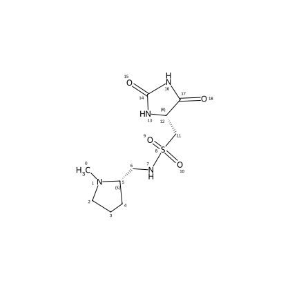 CN1CCC[C@H]1CNS(=O)(=O)C[C@@H]1NC(=O)NC1=O